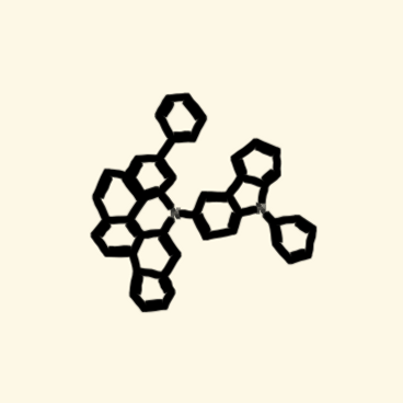 c1ccc(-c2cccc(N(c3ccc4c(c3)c3ccccc3n4-c3ccccc3)c3cc4ccccc4c4ccc5ccccc5c34)c2)cc1